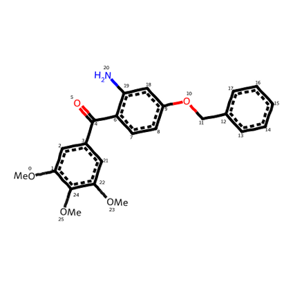 COc1cc(C(=O)c2ccc(OCc3ccccc3)cc2N)cc(OC)c1OC